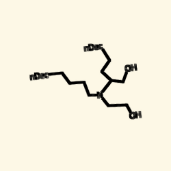 CCCCCCCCCCCCCCN(CCO)C(CO)CCCCCCCCCCCC